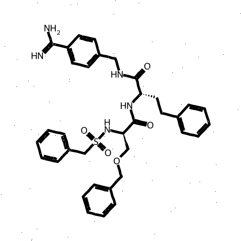 N=C(N)c1ccc(CNC(=O)[C@H](CCc2ccccc2)NC(=O)[C@@H](COCc2ccccc2)NS(=O)(=O)Cc2ccccc2)cc1